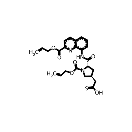 C=CCOC(=O)c1ccc2cccc(NC(=O)[C@@H]3C[C@@H](CC(O)=S)CN3C(=O)OCC=C)c2n1